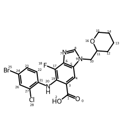 O=C(O)c1cc2c(ncn2CC2CCCCO2)c(F)c1Nc1ccc(Br)cc1Cl